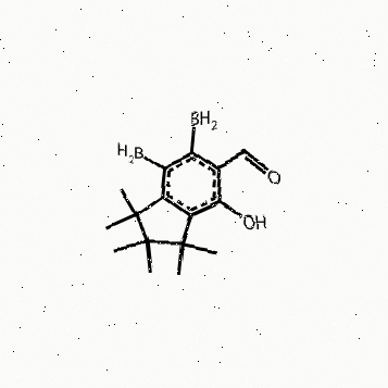 Bc1c(B)c2c(c(O)c1C=O)C(C)(C)C(C)(C)C2(C)C